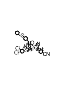 CCCCCNC(=S)N(Cc1cccc(Cl)c1Cl)C[C@H](Cc1ccc(OCc2ccccc2)cc1)NC(=O)Cc1cncn1Cc1ccc(C#N)cc1